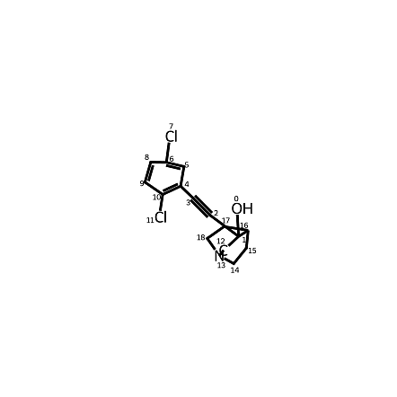 OC1(C#Cc2cc(Cl)ccc2Cl)CN2CCC1CC2